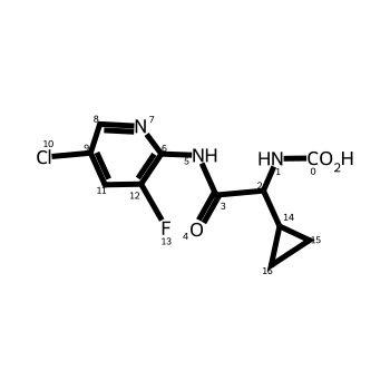 O=C(O)NC(C(=O)Nc1ncc(Cl)cc1F)C1CC1